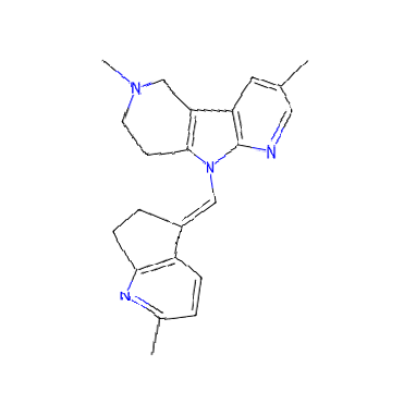 Cc1cnc2c(c1)c1c(n2/C=C2\CCc3nc(C)ccc32)CCN(C)C1